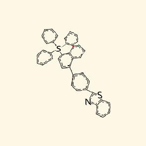 c1ccc(S(c2ccccc2)(c2ccccc2)c2ccc(-c3ccc(-c4nc5ccccc5s4)cc3)c3ccccc23)cc1